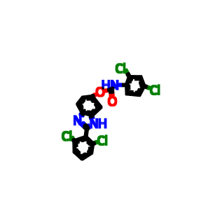 O=C(Nc1ccc(Cl)cc1Cl)Oc1ccc2nc(-c3c(Cl)cccc3Cl)[nH]c2c1